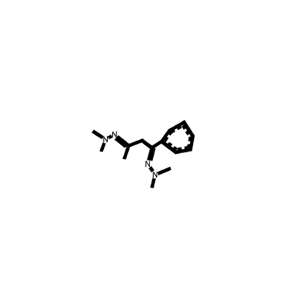 CC(CC(=NN(C)C)c1ccccc1)=NN(C)C